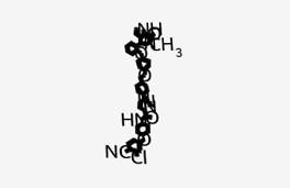 Cn1cc(-c2ccccc2Oc2ccc(OCC3CCN(c4ccc(C(=O)N[C@H]5CC[C@H](Oc6ccc(C#N)c(Cl)c6)CC5)nn4)CC3)cc2)c2cc[nH]c2c1=O